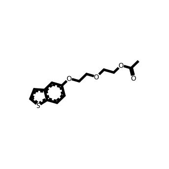 CC(=O)OCCOCCOc1ccc2sccc2c1